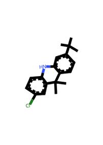 CC(C)(C)c1ccc2c(c1)Nc1ccc(Cl)cc1C2(C)C